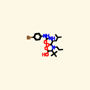 CCCN(C(=O)[C@H](CC(C)C)NC(=O)Nc1ccc(Br)cc1)C(C(=O)O)C(C)(C)C